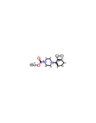 CC(C)(C)OC(=O)N1CCN(C2=CCCC=C2C=O)CC1